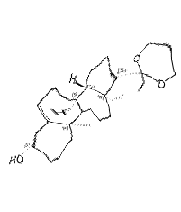 CC1([C@H]2CC[C@H]3[C@@H]4CC=C5C[C@@H](O)CC[C@]5(C)C4CC[C@]23C)OCCCO1